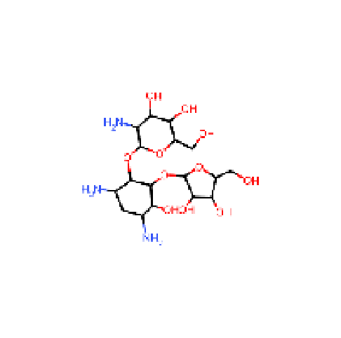 NC1CC(N)C(OC2OC(CO)C(O)C(O)C2N)C(OC2OC(CO)C(O)C2O)C1O